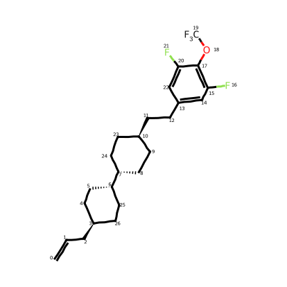 C=CC[C@H]1CC[C@H]([C@H]2CC[C@H](CCc3cc(F)c(OC(F)(F)F)c(F)c3)CC2)CC1